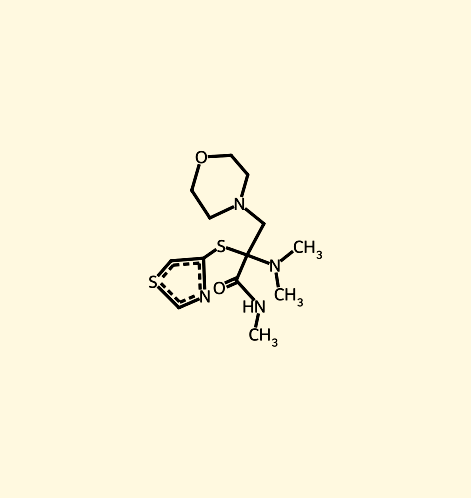 CNC(=O)C(CN1CCOCC1)(Sc1cscn1)N(C)C